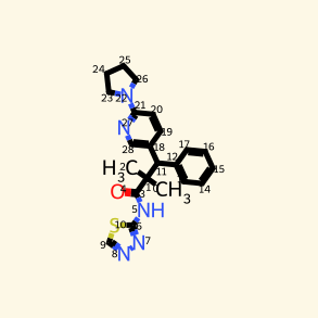 CC(C)(C(=O)Nc1nncs1)C(c1ccccc1)c1ccc(N2CCCC2)nc1